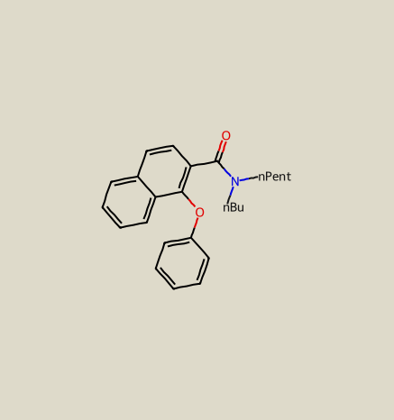 CCCCCN(CCCC)C(=O)c1ccc2ccccc2c1Oc1ccccc1